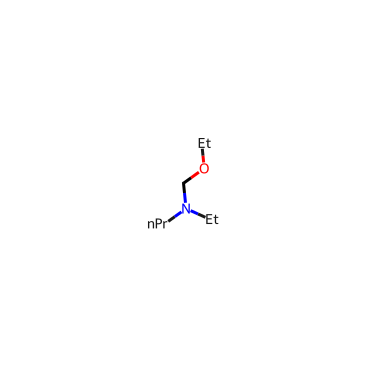 CCCN(CC)COCC